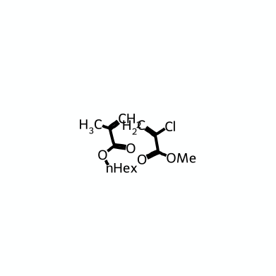 C=C(C)C(=O)OCCCCCC.C=C(Cl)C(=O)OC